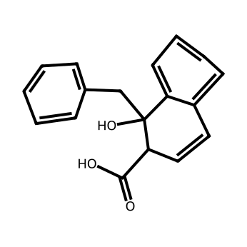 O=C(O)C1C=Cc2ccccc2C1(O)Cc1ccccc1